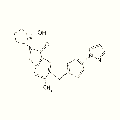 Cc1cc2c(cc1Cc1ccc(-n3cccn3)cc1)C(=O)N(C1CCC[C@@H]1O)C2